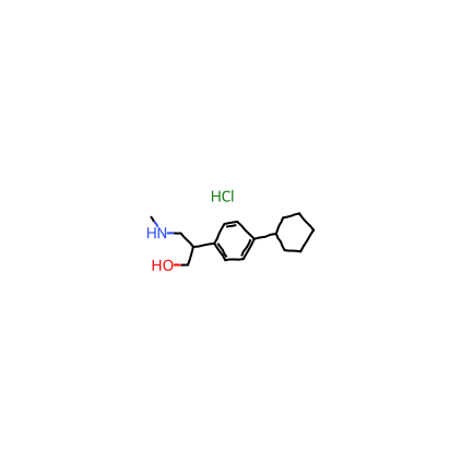 CNCC(CO)c1ccc(C2CCCCC2)cc1.Cl